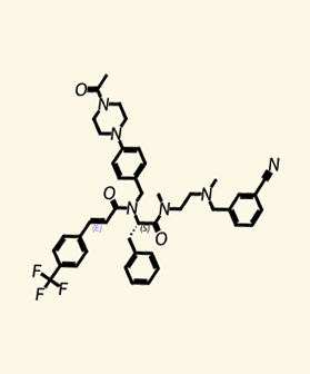 CC(=O)N1CCN(c2ccc(CN(C(=O)/C=C/c3ccc(C(F)(F)F)cc3)[C@@H](Cc3ccccc3)C(=O)N(C)CCN(C)Cc3cccc(C#N)c3)cc2)CC1